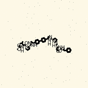 COC(=O)N[C@H](C(=O)N1CCC[C@H]1c1ncc(-c2ccc(-c3ccc(-c4cnc([C@@H]5CC[C@H](CC[C@@H](C=O)NC(=O)OCc6ccccc6)N5)[nH]4)cc3)cc2)[nH]1)C(C)C